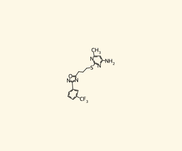 Cc1cc(N)nc(SCCCc2nc(-c3cccc(C(F)(F)F)c3)no2)n1